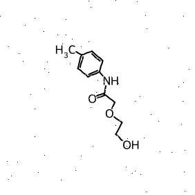 Cc1ccc(NC(=O)COCCO)cc1